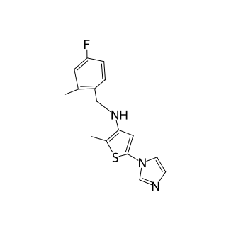 Cc1cc(F)ccc1CNc1cc(-n2ccnc2)sc1C